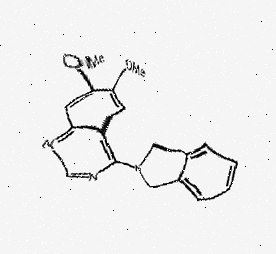 COc1cc2ncnc(N3Cc4ccccc4C3)c2cc1OC